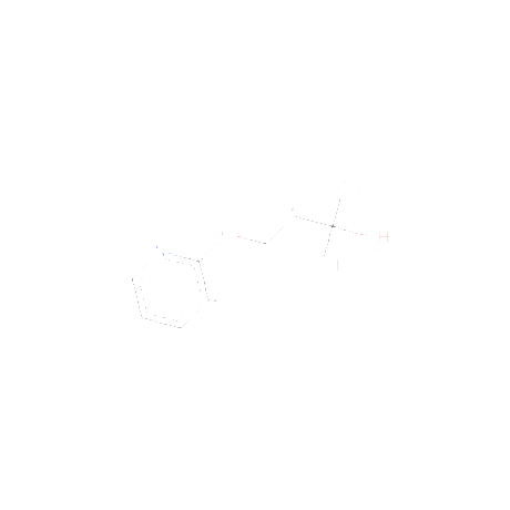 CC(C)(O)CCOc1cc[c]cn1